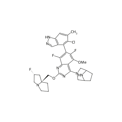 COc1c(F)c(-c2c(Cl)c(C)cc3[nH]ncc23)c(F)c2nc(OC[C@@]34CCCN3C[C@H](F)C4)nc(N3CC4CCC(C3)N4)c12